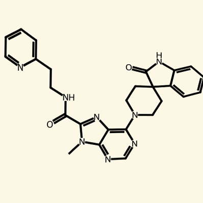 Cn1c(C(=O)NCCc2ccccn2)nc2c(N3CCC4(CC3)C(=O)Nc3ccccc34)ncnc21